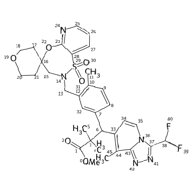 COC(=O)C(C)(C)C(c1ccc(C)c(CN2CC3(CCOCC3)Oc3ncccc3S2(=O)=O)c1)c1ccn2c(C(F)F)nnc2c1C